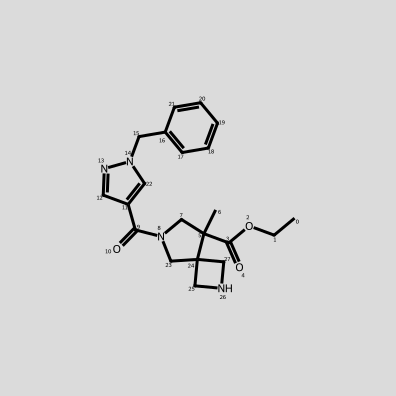 CCOC(=O)C1(C)CN(C(=O)c2cnn(Cc3ccccc3)c2)CC12CNC2